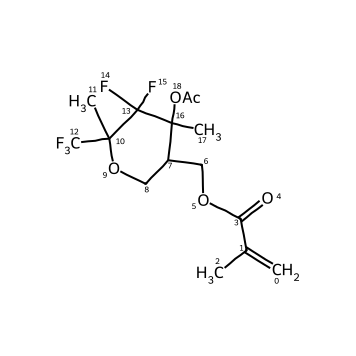 C=C(C)C(=O)OCC1COC(C)(C(F)(F)F)C(F)(F)C1(C)OC(C)=O